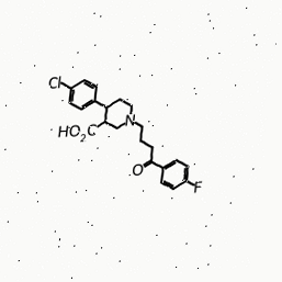 O=C(CCCN1CCC(c2ccc(Cl)cc2)C(C(=O)O)C1)c1ccc(F)cc1